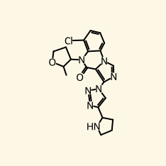 CC1OCCC1n1c(=O)c2c(-n3cc(C4CCCN4)nn3)ncn2c2cccc(Cl)c21